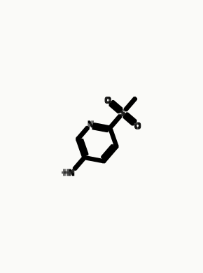 CS(=O)(=O)c1ccc([NH])cn1